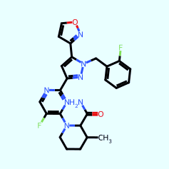 CC1CCCN(c2nc(-c3cc(-c4ccon4)n(Cc4ccccc4F)n3)ncc2F)C1C(N)=O